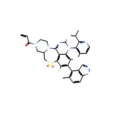 C=CC(=O)N1CCN2C3=NC(O)N(c4c(C)ccnc4C(C)C)c4c(Cl)c(-c5c(C)ccc6[nH]ncc56)c(F)c(c43)S(=O)(=O)CC2C1